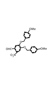 COc1ccc(COc2cc(C=O)c([N+](=O)[O-])cc2OCc2ccc(OC)cc2)cc1